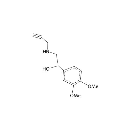 C#CCNCC(O)c1ccc(OC)c(OC)c1